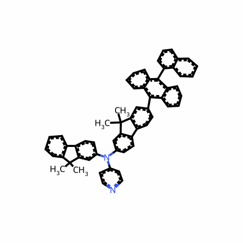 CC1(C)c2ccccc2-c2ccc(N(c3ccncc3)c3ccc4c(c3)C(C)(C)c3cc(-c5c6ccccc6c(-c6cccc7ccccc67)c6ccccc56)ccc3-4)cc21